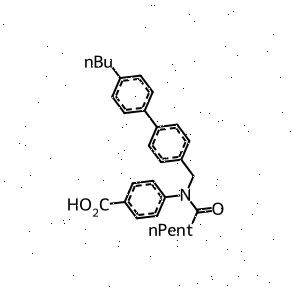 CCCCCC(=O)N(Cc1ccc(-c2ccc(CCCC)cc2)cc1)c1ccc(C(=O)O)cc1